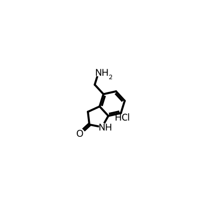 Cl.NCc1cccc2c1CC(=O)N2